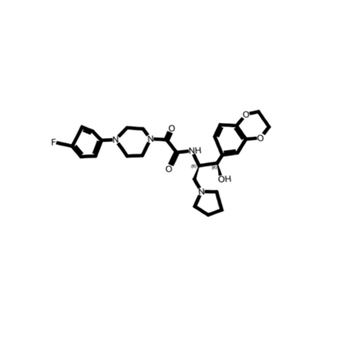 O=C(N[C@H](CN1CCCC1)[C@H](O)c1ccc2c(c1)OCCO2)C(=O)N1CCN(c2ccc(F)cc2)CC1